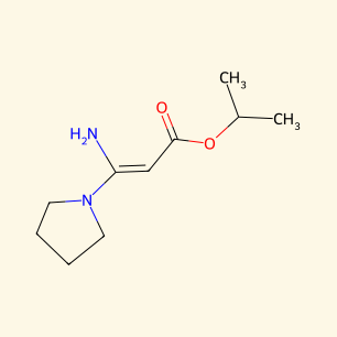 CC(C)OC(=O)C=C(N)N1CCCC1